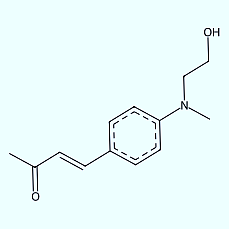 CC(=O)/C=C/c1ccc(N(C)CCO)cc1